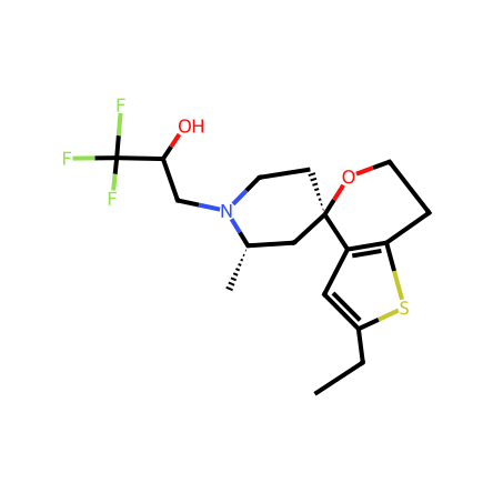 CCc1cc2c(s1)CCO[C@@]21CCN(CC(O)C(F)(F)F)[C@@H](C)C1